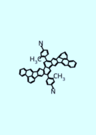 Cc1cc(C#N)ccc1-c1cc2c3cc4c(cc3c(-c3ccc(C#N)cc3C)cc2c2cc3c(cc12)-c1cccc2c1c-3cc1ccccc12)-c1cccc2c1c-4cc1ccccc12